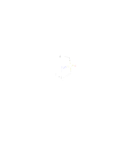 C=CS(=O)(CC(C)C)=NC(F)(F)F